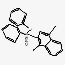 Cc1cc(P(=O)(Oc2ccccc2)c2ccccc2)c(C)c2ccccc12